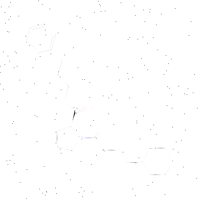 O=C(CCC1CCCCC1)C(=O)N1CCC[C@H]1C(=O)OCCCc1ccccc1